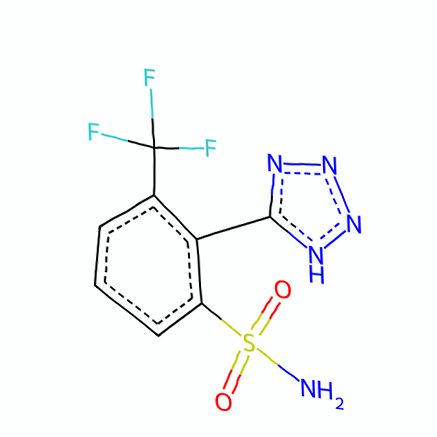 NS(=O)(=O)c1cccc(C(F)(F)F)c1-c1nnn[nH]1